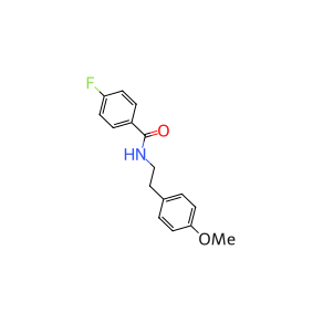 COc1ccc(CCNC(=O)c2ccc(F)cc2)cc1